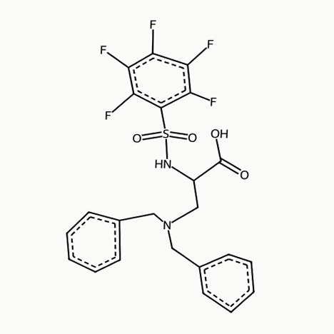 O=C(O)C(CN(Cc1ccccc1)Cc1ccccc1)NS(=O)(=O)c1c(F)c(F)c(F)c(F)c1F